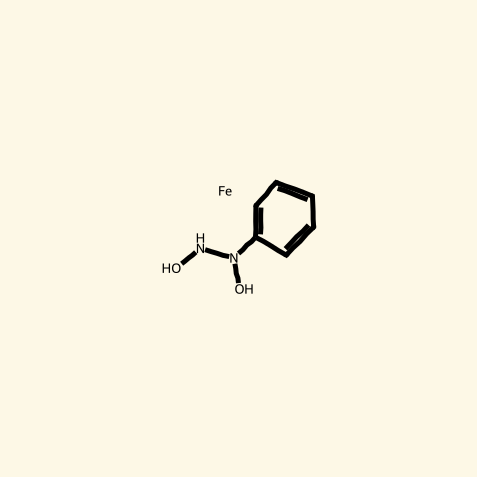 ONN(O)c1ccccc1.[Fe]